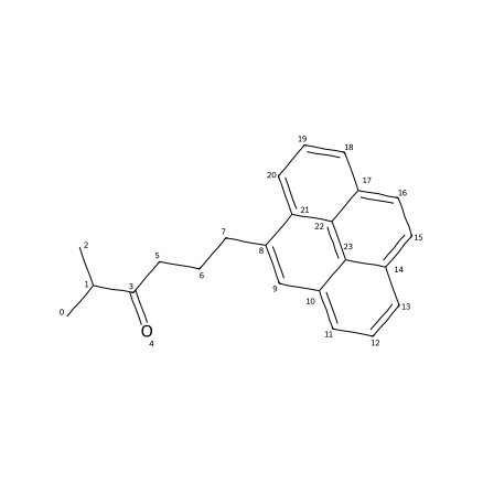 CC(C)C(=O)CCCc1cc2cccc3ccc4cccc1c4c32